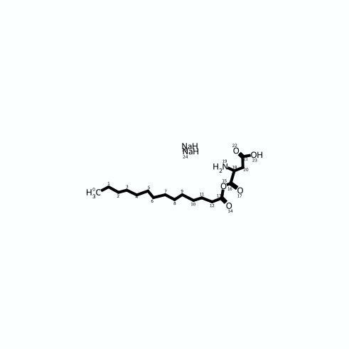 CCCCCCCCCCCCCC(=O)OC(=O)C(N)CC(=O)O.[NaH].[NaH]